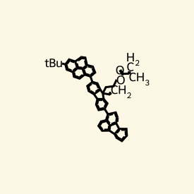 C=CC1(CCCOC(=O)C(=C)C)c2cc(-c3ccc4c5c(cccc35)-c3ccccc3-4)ccc2-c2ccc(-c3ccc4ccc5cc(C(C)(C)C)cc6ccc3c4c56)cc21